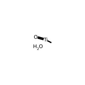 O.[CH3][Ti]=[O]